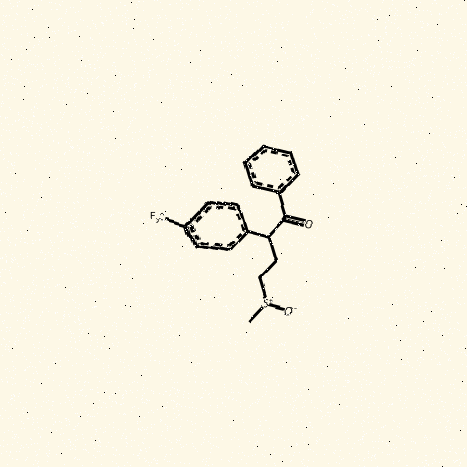 C[S+]([O-])CCC(C(=O)c1ccccc1)c1ccc(C(F)(F)F)cc1